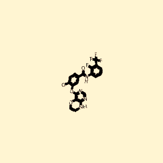 O=C(Nc1cccc(C(F)(F)F)c1F)c1ccc(Cl)c(Oc2ncnc3c2OCCN3)c1